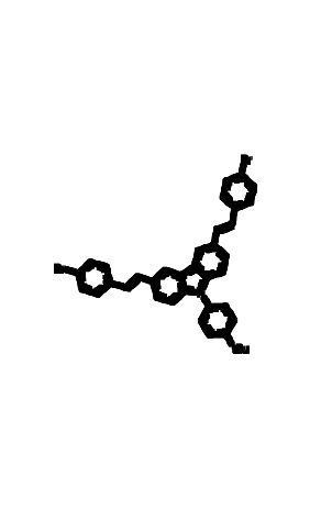 CC(C)(C)c1ccc(-n2c3ccc(/C=C/c4ccc(Br)cc4)cc3c3cc(/C=C/c4ccc(Br)cc4)ccc32)cc1